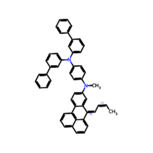 C/C=C\C=c1/c2cc(N(C)c3ccc(N(c4cccc(-c5ccccc5)c4)c4cccc(-c5ccccc5)c4)cc3)ccc2c2cccc3cccc1c32